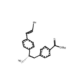 COC(=O)c1ccc(C[C@H](C(=O)O)c2ccc(C=CC(C)(C)C)cc2)cc1